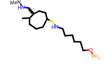 CNN/C=C1/CCC(SNCCCCCCOP)CCCC1C